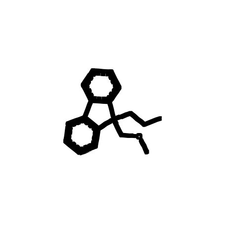 CCCC1(COC)c2ccccc2-c2ccccc21